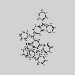 c1ccc(N(c2ccc3c(c2)c2ccccc2n3-c2ccccc2)c2ccc(C3(c4ccccc4)c4ccccc4-c4ccccc43)c3c2oc2ccccc23)cc1